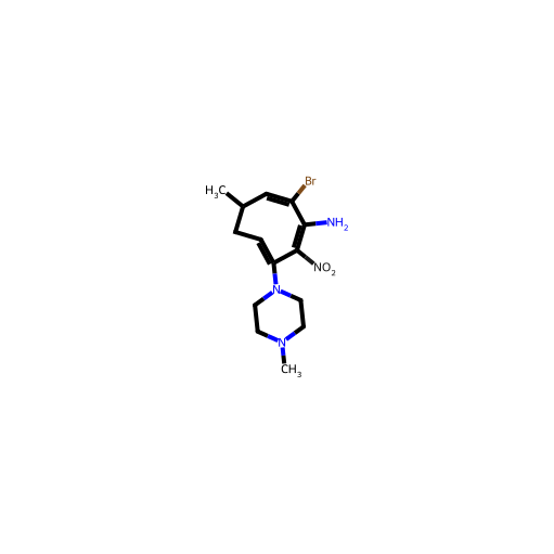 CC1\C=C(Br)/C(N)=C([N+](=O)[O-])\C(N2CCN(C)CC2)=C\C1